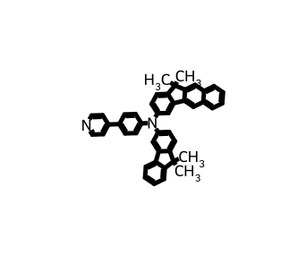 CC1(C)c2ccccc2-c2cc(N(c3ccc(-c4ccncc4)cc3)c3ccc4c(c3)-c3cc5ccccc5cc3C4(C)C)ccc21